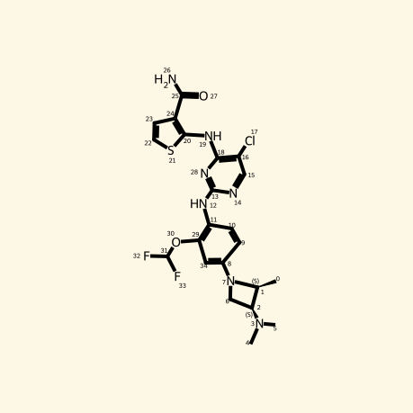 C[C@H]1[C@@H](N(C)C)CN1c1ccc(Nc2ncc(Cl)c(Nc3sccc3C(N)=O)n2)c(OC(F)F)c1